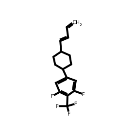 C=CC=CC1CCC(c2cc(F)c(C(F)(F)F)c(F)c2)CC1